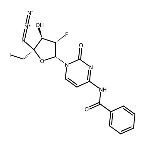 [N-]=[N+]=N[C@]1(CI)O[C@@H](n2ccc(NC(=O)c3ccccc3)nc2=O)[C@@H](F)[C@@H]1O